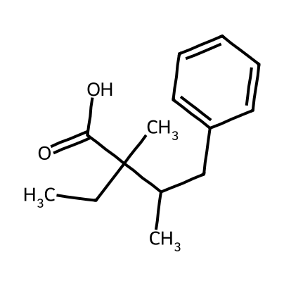 CCC(C)(C(=O)O)C(C)Cc1ccccc1